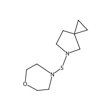 C1CN(SN2CCC3(CC3)C2)CCO1